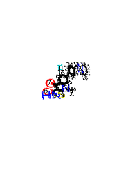 O=c1[nH]sc2c1c(=O)c1cc(F)c(-c3ccc(CN4CCCCC4)cc3)cc1n2C1CC1